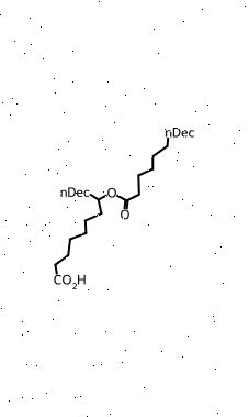 CCCCCCCCCCCCCCCC(=O)OC(CCCCCCCCCC)CCCCCCC(=O)O